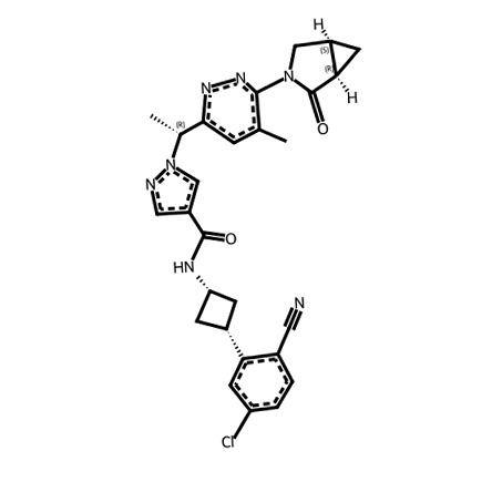 Cc1cc([C@@H](C)n2cc(C(=O)N[C@H]3C[C@@H](c4cc(Cl)ccc4C#N)C3)cn2)nnc1N1C[C@H]2C[C@H]2C1=O